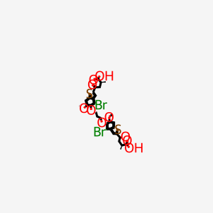 COc1cc2sc(C(=O)C[C@H](C)C(=O)O)cc2c(Br)c1OCCCOc1c(OC)cc2sc(C(=O)C[C@H](C)C(=O)O)cc2c1Br